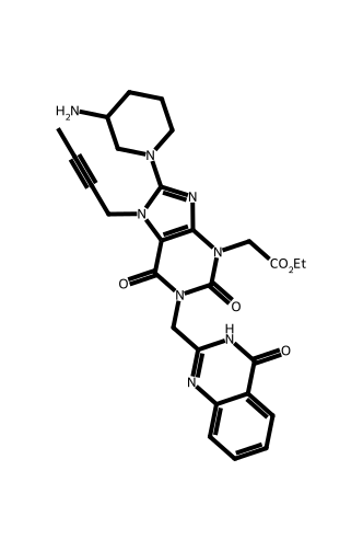 CC#CCn1c(N2CCCC(N)C2)nc2c1c(=O)n(Cc1nc3ccccc3c(=O)[nH]1)c(=O)n2CC(=O)OCC